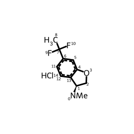 CN[C@@H]1COc2cc(C(C)(F)F)ccc21.Cl